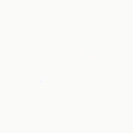 N#Cc1ccc2c(c1)CCS2(=O)=O